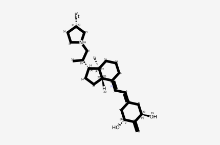 C=C1[C@H](O)CC(=C/C=C2\CCC[C@]3(C)[C@@H](C(C)CN4CC[C@H](CC)C4)CC[C@@H]23)C[C@H]1O